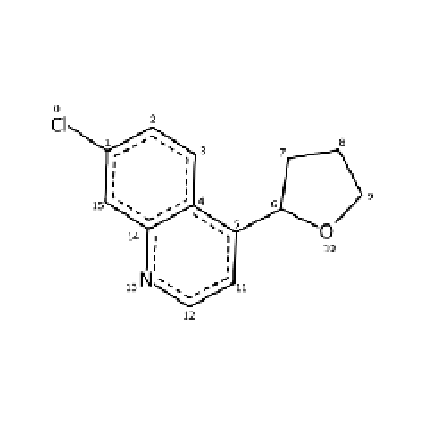 Clc1ccc2c(C3CCCO3)ccnc2c1